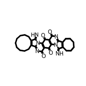 N=c1c2c(c3nc(=O)c4c(=O)c5c(c(=O)nc6c7c(c(=N)n65)CCCCCC7)c(=O)c4n13)CCCCCCCCC2